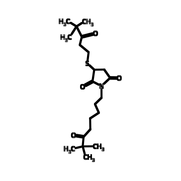 CC(C)(C)C(=O)CCCCCN1C(=O)CC(SCCC(=O)C(C)(C)C)C1=O